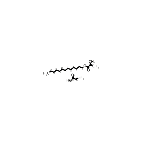 C=C(C)C(=O)OCCCCCCCCCCCCC.C=CC(=O)O